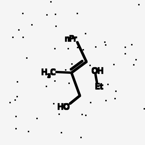 CCC/C=C(\C)CO.CCO